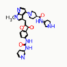 Cn1cc(C=C2Oc3ccc(NC(=O)Nc4cccnc4)cc3C2=O)c2c(N3CCC(C(=O)N[C@@H]4CCNC4)CC3)ccnc21